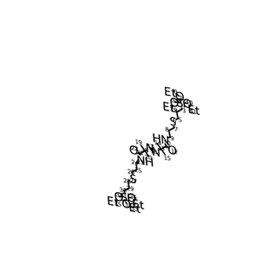 CCO[Si](CCCSCCCNC(=O)C(C)(C)N=NC(C)(C)C(=O)NCCCSCCC[Si](OCC)(OCC)OCC)(OCC)OCC